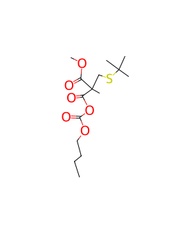 CCCCOC(=O)OC(=O)C(C)(CSC(C)(C)C)C(=O)OC